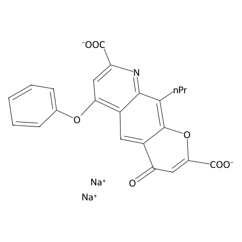 CCCc1c2nc(C(=O)[O-])cc(Oc3ccccc3)c2cc2c(=O)cc(C(=O)[O-])oc12.[Na+].[Na+]